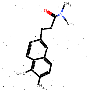 Cc1ccc2cc(CCC(=O)N(C)C)ccc2c1C=O